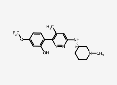 Cc1cc(N[C@H]2CCCN(C)C2)nnc1-c1ccc(OC(F)(F)F)cc1O